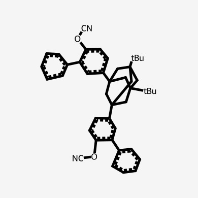 CC(C)(C)C12CC3(c4ccc(OC#N)c(-c5ccccc5)c4)CC(c4ccc(OC#N)c(-c5ccccc5)c4)(C1)CC(C(C)(C)C)(C3)C2